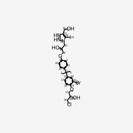 CC(C)(c1ccc(OC[C@@H](O)CN2NNC(CO)=C2I)cc1)c1ccc(OC[C@@H](O)CCl)c(Br)c1